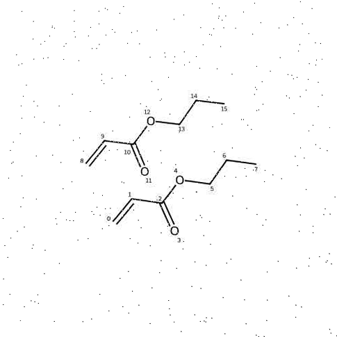 C=CC(=O)OCCC.C=CC(=O)OCCC